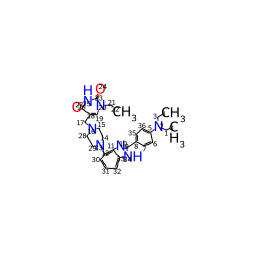 CCN(CC)c1ccc(-c2nc3c(N4CCN(Cc5cn(CC)c(=O)[nH]c5=O)CC4)cccc3[nH]2)cc1